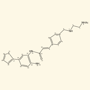 CC(=O)NCCNCc1ccc(C=CC(=O)Nc2cc(-c3cccs3)ccc2N)cc1